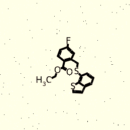 CCOC(=O)c1ccc(F)cc1CSc1cccc2ccsc12